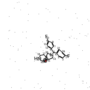 Fc1ccc(C(c2ccc(F)cc2)N2CCC3(CCNCC34OCCO4)C2)cc1